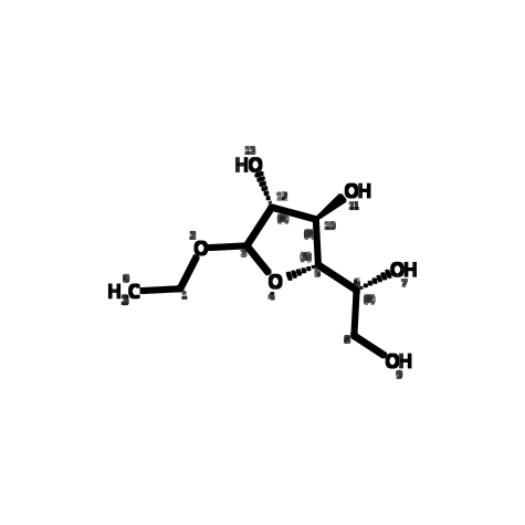 CCOC1O[C@@H]([C@H](O)CO)[C@H](O)[C@H]1O